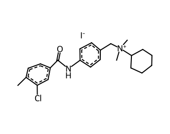 Cc1ccc(C(=O)Nc2ccc(C[N+](C)(C)C3CCCCC3)cc2)cc1Cl.[I-]